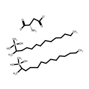 CCCCCCCCCCCCC(C)[N+](C)(O)O.CCCCCCCCCCCCC(C)[N+](C)(O)O.N[C@@H](CC(=O)[O-])C(=O)[O-]